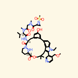 CCn1c(-c2cnccc2COC)c2c3cc(ccc31)-c1cc(O)cc(c1)C[C@H](NC(=O)[C@H](C(C)C)N(C)C(=O)CN(C)C(=O)C1CN1S(C)(=O)=O)C(=O)N1CCC[C@H](N1)C(=O)OCC(C)(C)C2